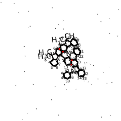 CC1(C)c2ccccc2-c2c(-c3ccccc3N(c3ccccc3-c3ccc4c(c3)c3ccccc3n4-c3ccccc3)c3cccc4c3-c3ccccc3C4(C)C)cccc21